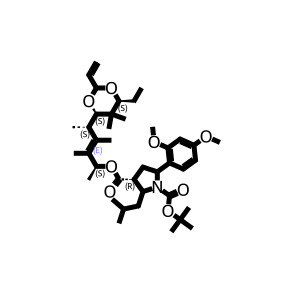 C=CC1O[C@@H](CC)C(C)(C)[C@H]([C@@H](C)/C(C)=C(\C)[C@H](C)OC(=O)[C@@H]2CC(c3ccc(OC)cc3OC)N(C(=O)OC(C)(C)C)C2CC(C)C)O1